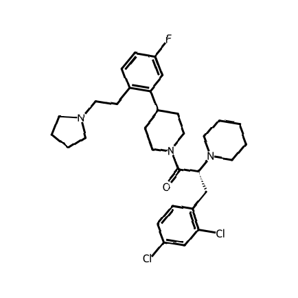 O=C([C@@H](Cc1ccc(Cl)cc1Cl)N1CCCCC1)N1CCC(c2cc(F)ccc2CCN2CCCC2)CC1